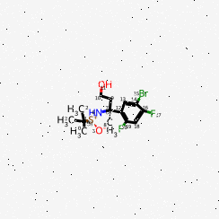 CC(C)(C)[S@@+]([O-])N[C@@](C)(CCO)c1cc(Br)c(F)cc1F